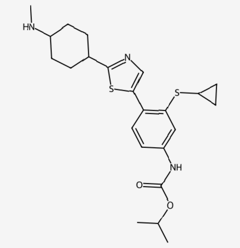 CNC1CCC(c2ncc(-c3ccc(NC(=O)OC(C)C)cc3SC3CC3)s2)CC1